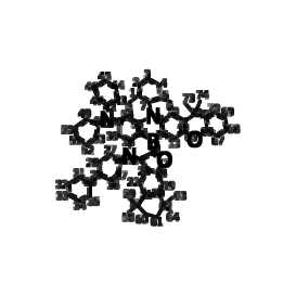 Cc1cccc(C)c1N1c2cc3c(cc2B2c4oc5cc6c(cc5c4N(c4ccc(-c5ccccc5)cc4)c4cc(N(c5ccccc5)c5ccccc5)cc1c42)C(C)(C)CCC6(C)C)Oc1ccccc1C3(C)C